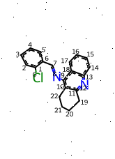 Clc1ccccc1/C=N/c1c2c(nc3ccccc13)CCCC2